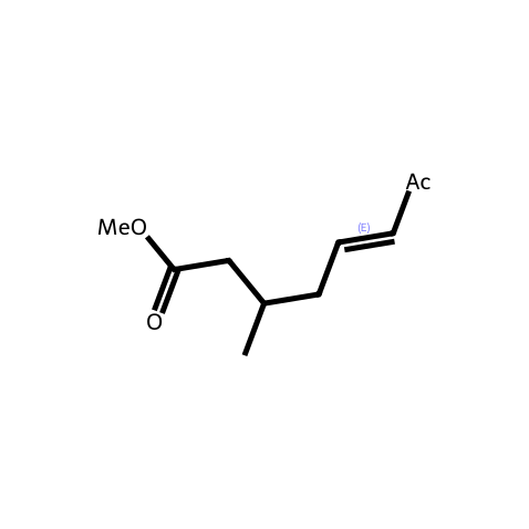 COC(=O)CC(C)C/C=C/C(C)=O